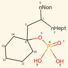 CCCCCCCCCC(CCCCCCC)CC1(OP(=O)(O)O)CCCCC1